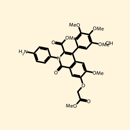 COC(=O)COc1cc2c(=O)n(-c3ccc(N)cc3)c(C(=O)OC)c(-c3cc(OC)c(OC)c(OC)c3)c2cc1OC.Cl